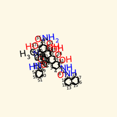 C[C@@H]1c2ccc(NC(=O)Nc3cccc4ccccc34)c(O)c2C(=O)C2=C(O)[C@]3(O)C(=O)C(C(N)=O)=C(O)[C@H](N(C)C)[C@H]3[C@H](OC(=O)Nc3ccccc3)[C@H]21